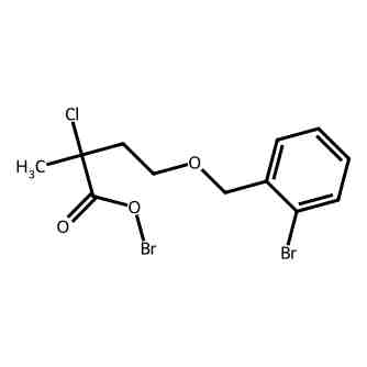 CC(Cl)(CCOCc1ccccc1Br)C(=O)OBr